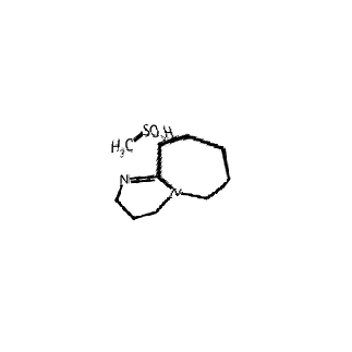 C1CCC2=NCCCN2CC1.CS(=O)(=O)O